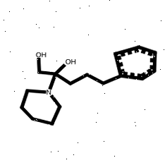 OCC(O)(CCCc1ccccc1)N1CCCCC1